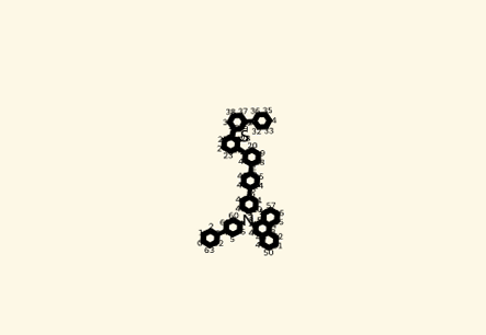 c1ccc(-c2ccc(N(c3ccc(-c4ccc(-c5cccc(-c6cccc7c6sc6c(-c8ccccc8)cccc67)c5)cc4)cc3)c3cc4ccccc4c4ccccc34)cc2)cc1